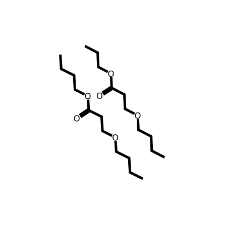 CCCCOCCC(=O)OCCC.CCCCOCCC(=O)OCCCC